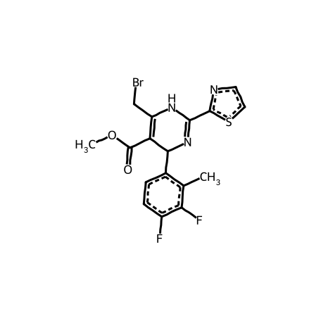 COC(=O)C1=C(CBr)NC(c2nccs2)=NC1c1ccc(F)c(F)c1C